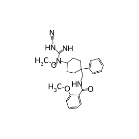 COc1ccccc1C(=O)NCC1(c2ccccc2)CCC(N(OC)C(=N)NC#N)CC1